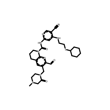 CN1CCN(Cc2cc3c(nc2C=O)N(C(=O)Nc2cc(NCCSC4CCCCC4)c(C#N)cn2)CCC3)C(=O)C1